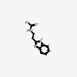 CCC(=O)NCCc1nc2ccccc2s1